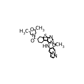 COc1cn2nccc2cc1Nc1ncnc2sc3c(c12)CC[C@H](C(=O)N1C[C@H](C)O[C@@H](C)C1)C3